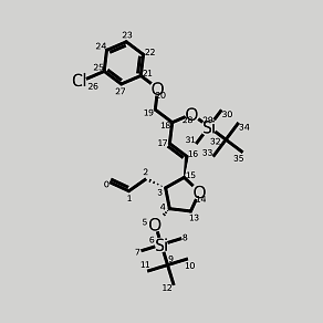 C=CC[C@H]1[C@@H](O[Si](C)(C)C(C)(C)C)CO[C@@H]1/C=C/C(COc1cccc(Cl)c1)O[Si](C)(C)C(C)(C)C